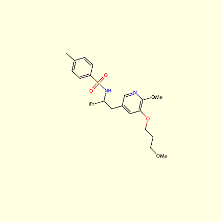 COCCCOc1cc(CC(NS(=O)(=O)c2ccc(C)cc2)C(C)C)cnc1OC